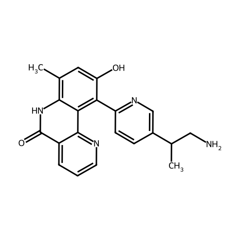 Cc1cc(O)c(-c2ccc(C(C)CN)cn2)c2c1[nH]c(=O)c1cccnc12